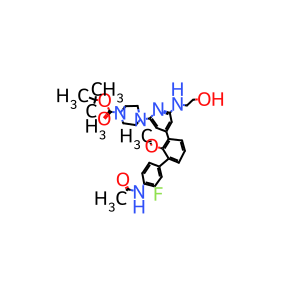 COc1c(-c2cc(NCCO)nc(N3CCN(C(=O)OC(C)(C)C)CC3)c2)cccc1-c1ccc(NC(C)=O)c(F)c1